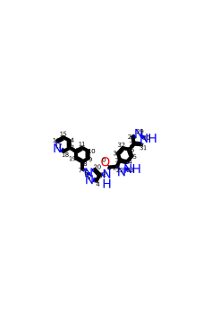 O=C(Nc1cnn(Cc2cccc(-c3cccnc3)c2)c1)c1n[nH]c2cc(-c3cn[nH]c3)ccc12